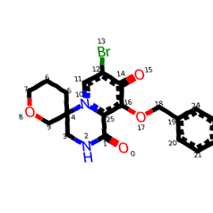 O=C1NCC2(CCCOC2)n2cc(Br)c(=O)c(OCc3ccccc3)c21